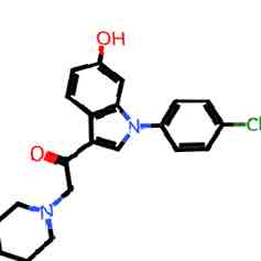 O=C(CN1CCCCC1)c1cn(-c2ccc(Cl)cc2)c2cc(O)ccc12